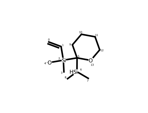 C=C[Si](C)([O])C1([SiH](C)C)CCCCO1